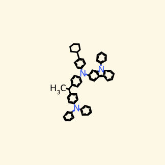 CC(c1ccc(N(c2ccccc2)c2ccccc2)cc1)c1ccc(N(c2ccc(C3CCCCC3)cc2)c2ccc3c4ccccc4n(-c4ccccc4)c3c2)cc1